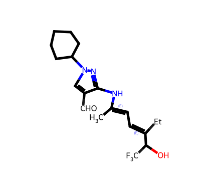 CC/C(=C\C=C(/C)Nc1nn(C2CCCCC2)cc1C=O)C(O)C(F)(F)F